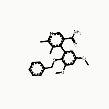 COc1cc(OC)c(OCc2ccccc2)c(-c2c(C(N)=O)cnc(C)c2C)c1